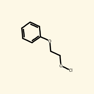 ClOCCOc1ccccc1